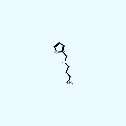 NCCCSCc1cccs1